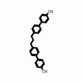 N#Cc1ccc(-c2ccc(CCCc3ccc(-c4ccc(C#N)cc4)cc3)cc2)cc1